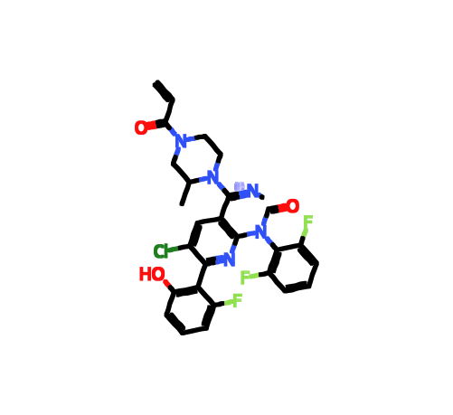 C=CC(=O)N1CCN(/C(=N/C)c2cc(Cl)c(-c3c(O)cccc3F)nc2N(C=O)c2c(F)cccc2F)C(C)C1